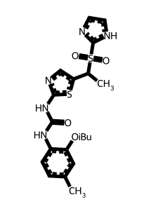 Cc1ccc(NC(=O)Nc2ncc(C(C)S(=O)(=O)c3ncc[nH]3)s2)c(OCC(C)C)c1